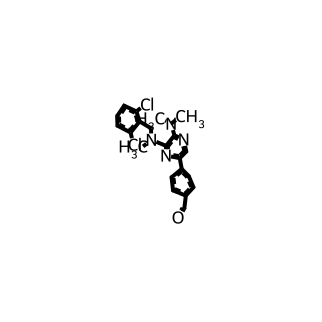 CN(C)c1ncc(-c2ccc(C=O)cc2)nc1N(C)Cc1c(Cl)cccc1Cl